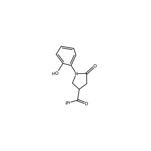 CC(C)C(=O)C1CC(=O)N(c2ccccc2O)C1